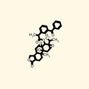 CC(C(=O)OC1C2(C(C)C)OC2CC2(O)C3(C)CCC4=C(COC4=O)C3CC3OC312)c1cccc(C(=O)c2ccccc2)c1